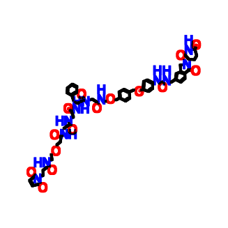 O=C(CCN1C(=O)C=CC1=O)NCCOCCC(=O)NCC(=O)NCC(=O)N[C@@H](Cc1ccccc1)C(=O)NCC(=O)NCOCc1ccc(COc2ccc(NC(=O)NCc3ccc4c(c3)CN(C3CCC(=O)NC3=O)C4=O)cc2)cc1